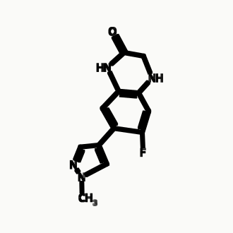 Cn1cc(-c2cc3c(cc2F)NCC(=O)N3)cn1